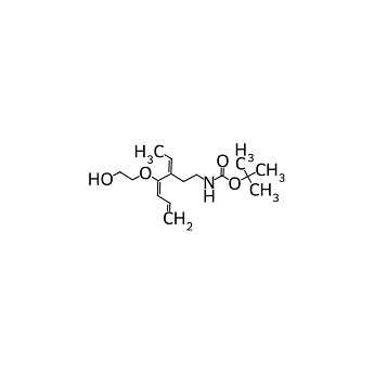 C=C/C=C(OCCO)\C(=C/C)CCNC(=O)OC(C)(C)C